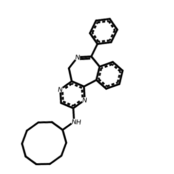 c1ccc(C2=NCc3ncc(NC4CCCCCCCCC4)nc3-c3ccccc32)cc1